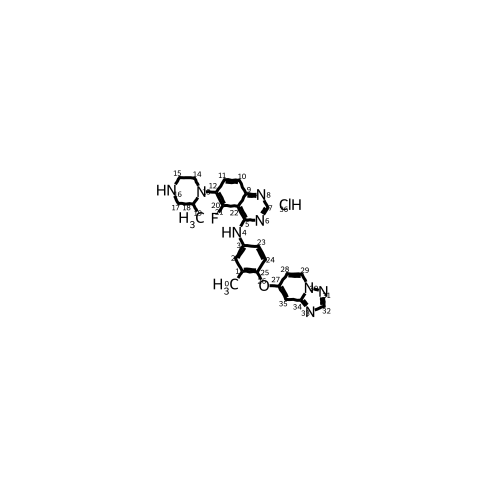 Cc1cc(Nc2ncnc3ccc(N4CCNCC4C)c(F)c23)ccc1Oc1ccn2ncnc2c1.Cl